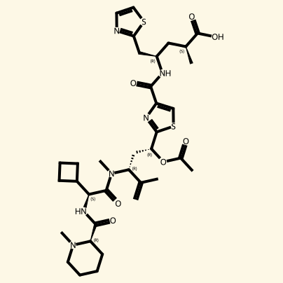 C=C(C)[C@@H](C[C@@H](OC(C)=O)c1nc(C(=O)N[C@@H](Cc2nccs2)C[C@H](C)C(=O)O)cs1)N(C)C(=O)[C@@H](NC(=O)[C@H]1CCCCN1C)C1CCC1